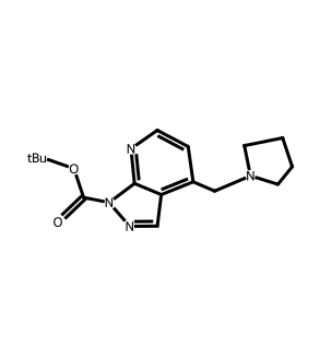 CC(C)(C)OC(=O)n1ncc2c(CN3CCCC3)ccnc21